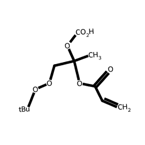 C=CC(=O)OC(C)(COOC(C)(C)C)OC(=O)O